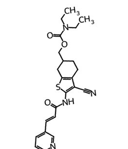 CCN(CC)C(=O)OCC1CCc2c(sc(NC(=O)C=Cc3cccnc3)c2C#N)C1